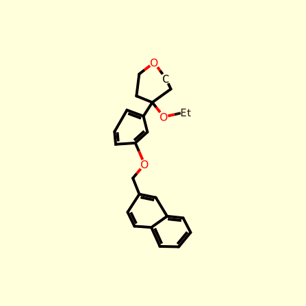 CCOC1(c2cccc(OCc3ccc4ccccc4c3)c2)CCOCC1